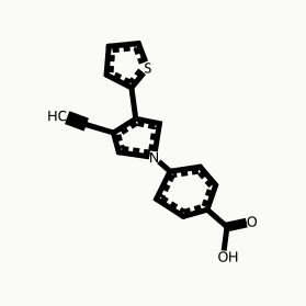 C#Cc1cn(-c2ccc(C(=O)O)cc2)cc1-c1cccs1